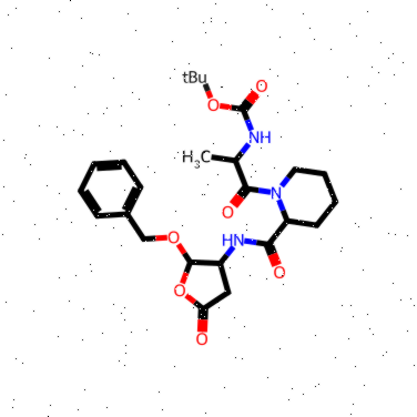 CC(NC(=O)OC(C)(C)C)C(=O)N1CCCCC1C(=O)NC1CC(=O)OC1OCc1ccccc1